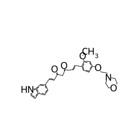 COc1cc(OCCN2CCOCC2)ccc1/C=C/C(=O)CC(=O)/C=C/c1ccc2cc[nH]c2c1